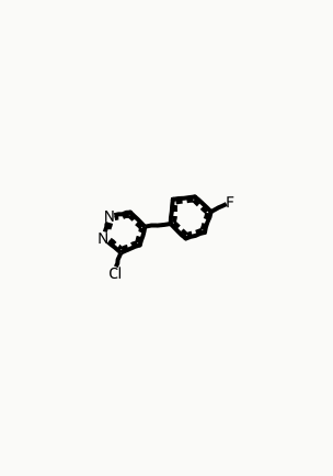 Fc1ccc(-c2cnnc(Cl)c2)cc1